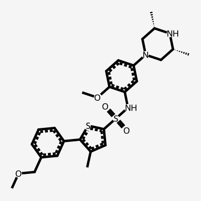 COCc1cccc(-c2sc(S(=O)(=O)Nc3cc(N4C[C@@H](C)N[C@@H](C)C4)ccc3OC)cc2C)c1